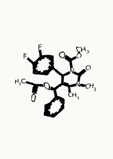 COC(=O)N1C(=O)N(C)C(C)=C(C(OC(C)=O)c2ccccc2)C1c1ccc(F)c(F)c1